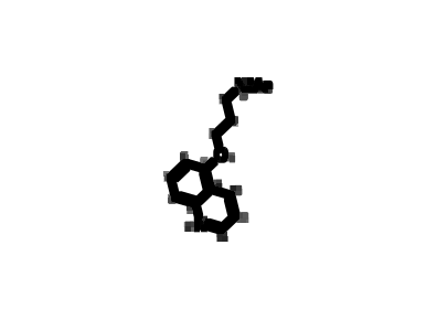 CNCCCOc1cccc2ncccc12